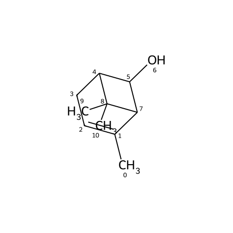 CC1=CCC2C(O)C1C2(C)C